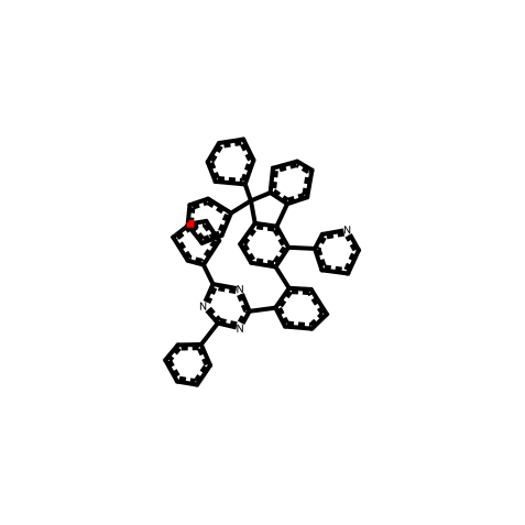 c1ccc(-c2nc(-c3ccccc3)nc(-c3ccccc3-c3ccc4c(c3-c3cccnc3)-c3ccccc3C4(c3ccccc3)c3ccccc3)n2)cc1